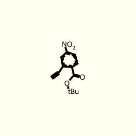 C#Cc1cc([N+](=O)[O-])ccc1C(=O)OC(C)(C)C